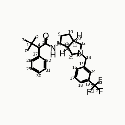 CC(C)(C)C(C(=O)N[C@@H]1CC[C@H]2CN(Cc3cccc(C(F)(F)F)c3)C[C@H]21)c1ccccc1